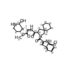 COC(=O)[C@H](C[C@@H]1CCCNC1O)NC(=O)C1CC2(CCCCC2)CN1C(=O)c1cc2cccc(Cl)c2[nH]1